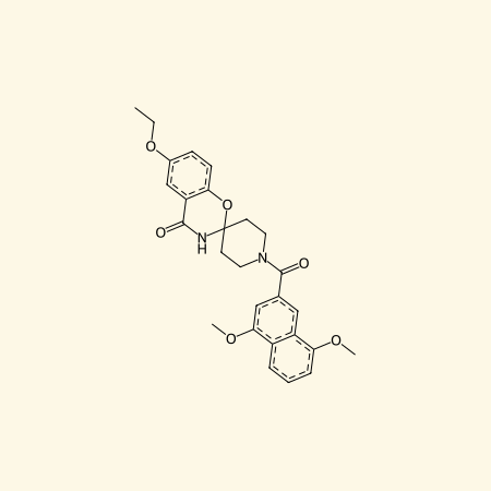 CCOc1ccc2c(c1)C(=O)NC1(CCN(C(=O)c3cc(OC)c4cccc(OC)c4c3)CC1)O2